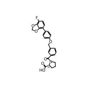 O=C(O)[C@@H]1CCCN1C(=O)c1cccc(COc2ccc(-c3ccc(F)c4c3OCO4)cc2)c1